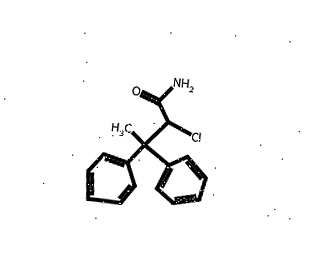 CC(c1ccccc1)(c1ccccc1)C(Cl)C(N)=O